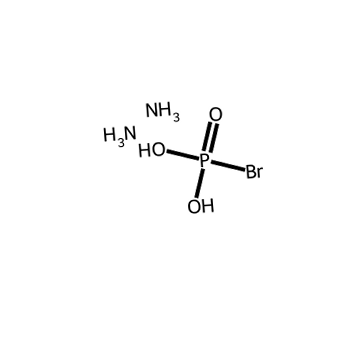 N.N.O=P(O)(O)Br